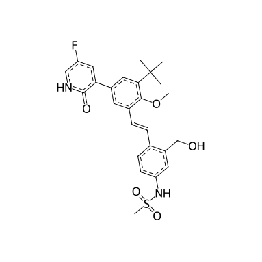 COc1c(/C=C/c2ccc(NS(C)(=O)=O)cc2CO)cc(-c2cc(F)c[nH]c2=O)cc1C(C)(C)C